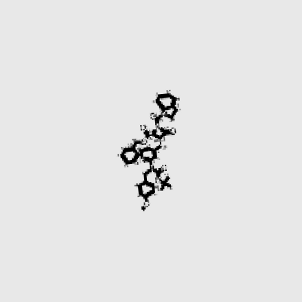 COc1ccc(CN(C(=O)OC(C)(C)C)c2cc(C[C@H]3C(=O)N(C(=O)N4CCc5ccccc54)[C@@H]3C(=O)OCc3ccccc3)ccn2)cc1